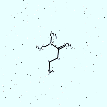 C=C(CCCCC)N(C)C